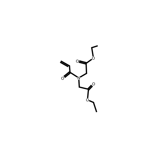 C=CC(=O)N(CC(=O)OCC)CC(=O)OCC